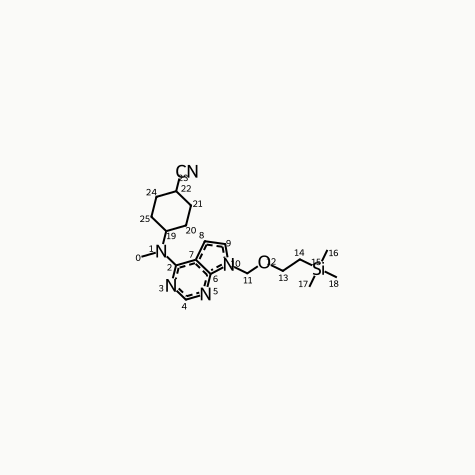 CN(c1ncnc2c1ccn2COCC[Si](C)(C)C)C1CCC(C#N)CC1